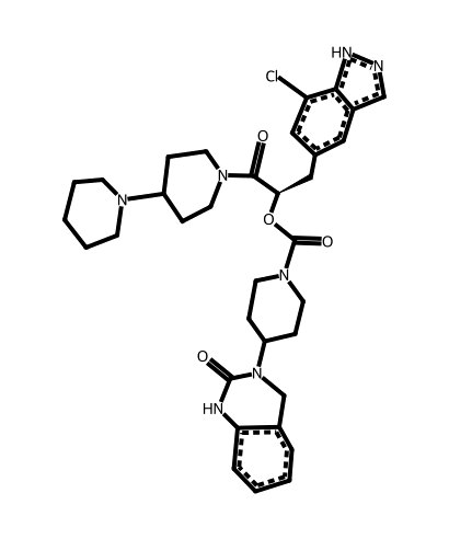 O=C(O[C@H](Cc1cc(Cl)c2[nH]ncc2c1)C(=O)N1CCC(N2CCCCC2)CC1)N1CCC(N2Cc3ccccc3NC2=O)CC1